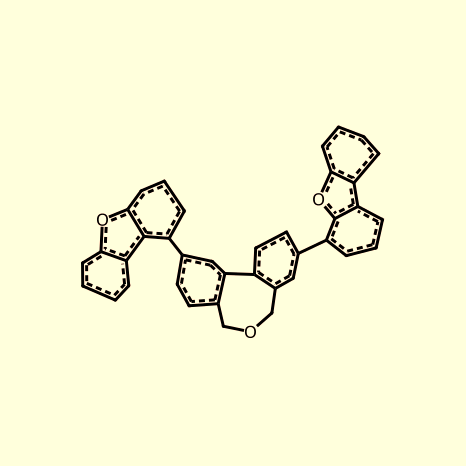 c1ccc2c(c1)oc1c(-c3ccc4c(c3)COCc3ccc(-c5cccc6oc7ccccc7c56)cc3-4)cccc12